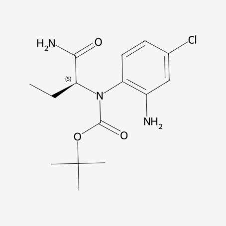 CC[C@@H](C(N)=O)N(C(=O)OC(C)(C)C)c1ccc(Cl)cc1N